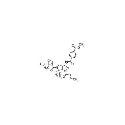 CCOC(=O)n1nc(NC(=O)c2ccc(C(=O)OC)cc2)c2c1C(C)(C)N(C(=O)OC(C)(C)C)C2